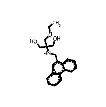 CCOCC(CO)(CO)NCc1cc2ccccc2c2ccccc12